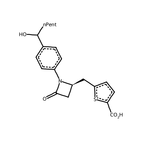 CCCCCC(O)c1ccc(N2C(=O)C[C@@H]2Cc2ccc(C(=O)O)s2)cc1